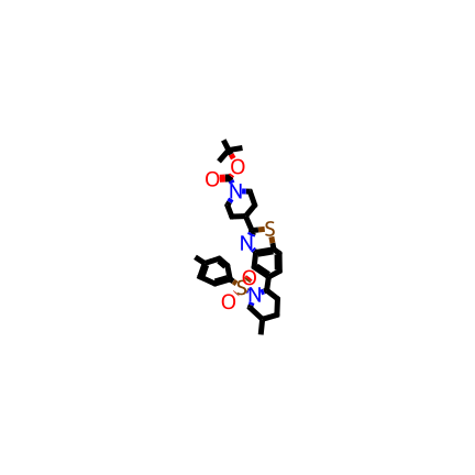 Cc1ccc(S(=O)(=O)N2CC(C)CCC2c2ccc3sc(C4CCN(C(=O)OC(C)(C)C)CC4)nc3c2)cc1